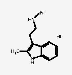 Cc1[nH]c2ccccc2c1CCNC(C)C.I